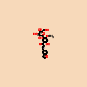 COc1cc(O)c(C(=O)/C=C/c2ccc3occc3c2)cc1[C@@H]1O[C@H](CO)[C@@H](O)[C@H](O)[C@H]1O